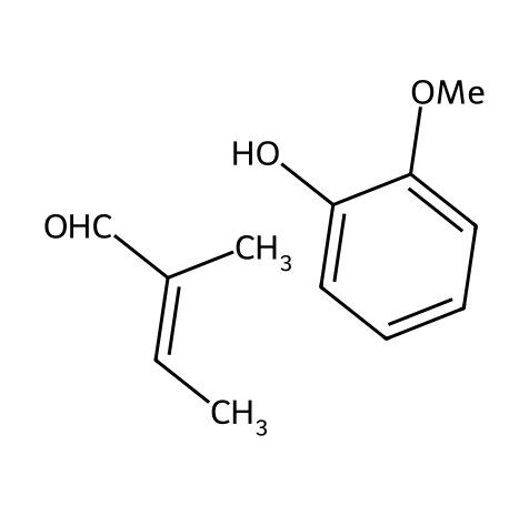 C/C=C(\C)C=O.COc1ccccc1O